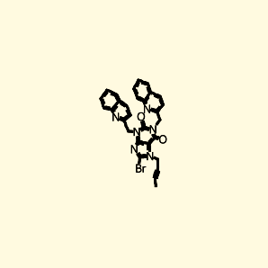 CC#CCn1c(Br)nc2c1c(=O)n(Cc1ccc3ccccc3n1)c(=O)n2Cc1ccc2ccccc2n1